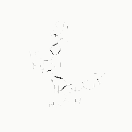 CCS(=O)(=O)c1ccc([C@H](NC(=O)c2cnc3c(c2)CN(CC2CCC(C(F)(F)F)CC2)[C@H]3C(C)C)[C@H](C)O)cc1